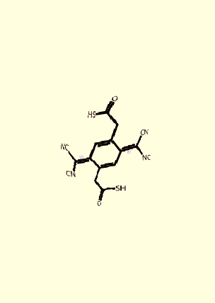 [C-]#[N+]/C(C#N)=c1/cc(CC(=O)S)/c(=C(\C#N)[N+]#[C-])cc1CC(=O)S